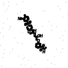 CNS(=O)(=O)c1cccc(OCC(O)CNC2COC3(CCN(S(=O)(=O)c4ccc(C)c(C#N)c4)CC3)C2)c1